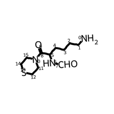 NCCCCC(NC=O)C(=O)N1CCSCC1